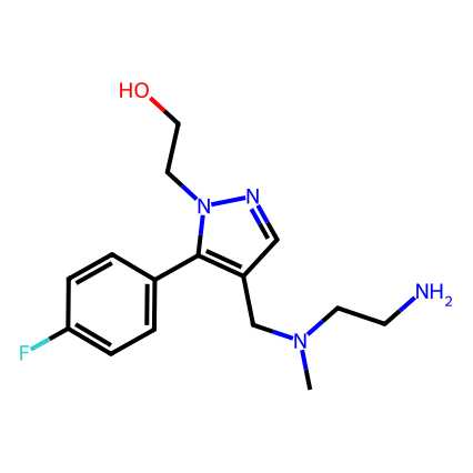 CN(CCN)Cc1cnn(CCO)c1-c1ccc(F)cc1